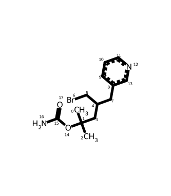 CC(C)(CC(CBr)Cc1cccnc1)OC(N)=O